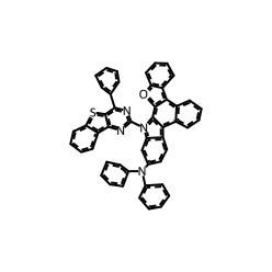 c1ccc(-c2nc(-n3c4cc(N(c5ccccc5)c5ccccc5)ccc4c4c5ccccc5c5c6ccccc6oc5c43)nc3c2sc2ccccc23)cc1